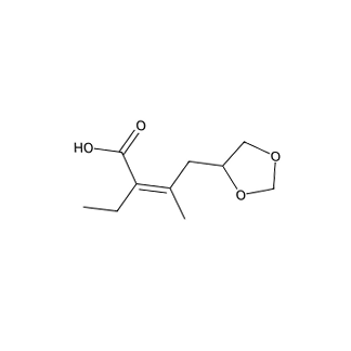 CCC(C(=O)O)=C(C)CC1COCO1